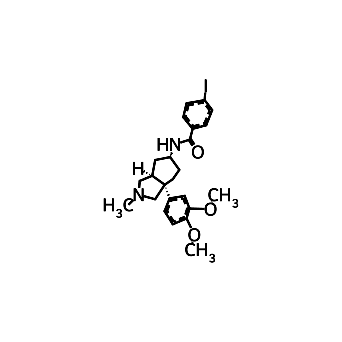 COc1ccc([C@@]23CC[C@@H](NC(=O)c4ccc(I)cc4)C[C@@H]2CN(C)C3)cc1OC